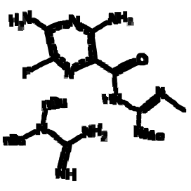 CCCCN(CCCC)C(=N)N.CN=C(NC)NC(=O)c1nc(F)c(N)nc1N